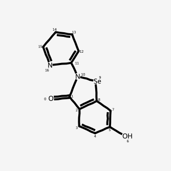 O=c1c2ccc(O)cc2[se]n1-c1ccccn1